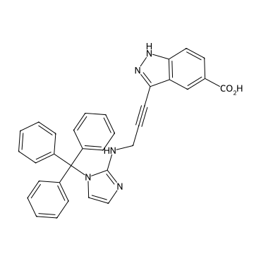 O=C(O)c1ccc2[nH]nc(C#CCNc3nccn3C(c3ccccc3)(c3ccccc3)c3ccccc3)c2c1